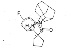 NC(=O)C12CC3CC(C1)C(NC(=O)C1(c4ccc(F)cc4)CCCC1)C(C3)C2